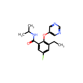 CCc1cc(F)cc(C(=O)NC(C)C)c1Oc1cncnc1